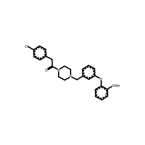 COc1ccccc1Oc1cccc(CN2CCN(C(=O)Cc3ccc(Cl)cc3)CC2)c1